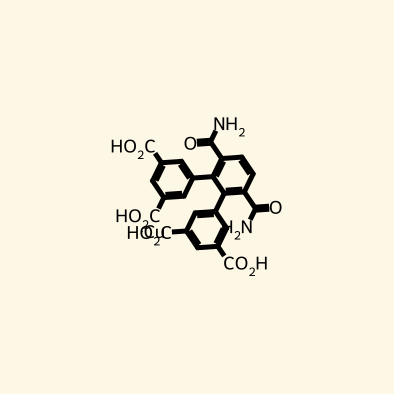 NC(=O)c1ccc(C(N)=O)c(-c2cc(C(=O)O)cc(C(=O)O)c2)c1-c1cc(C(=O)O)cc(C(=O)O)c1.[Cu]